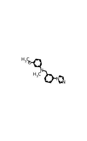 COc1cccc(N(C)Cc2cccc(-n3ccnc3)c2)c1